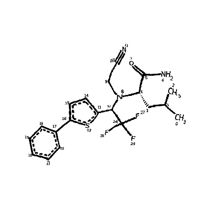 CC(C)C[C@@H](C(N)=O)N(CC#N)C(c1ccc(-c2ccccc2)s1)C(F)(F)F